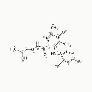 Cc1c(Nc2ccc(Br)cc2Cl)c(C(=O)NOCC(C)O)nn(C)c1=O